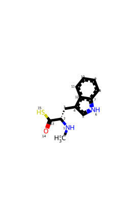 CN[C@@H](Cc1c[nH]c2ccccc12)C(=O)S